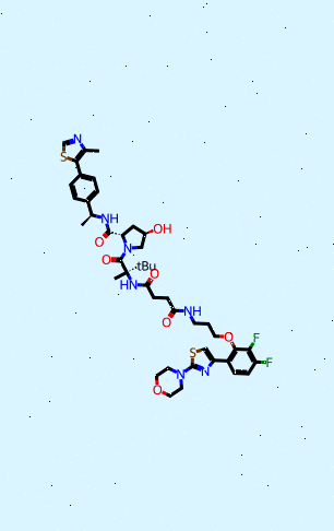 Cc1ncsc1-c1ccc([C@H](C)NC(=O)[C@@H]2C[C@@H](O)CN2C(=O)[C@](C)(NC(=O)CCC(=O)NCCCOc2c(-c3csc(N4CCOCC4)n3)ccc(F)c2F)C(C)(C)C)cc1